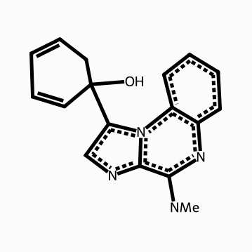 CNc1nc2ccccc2n2c(C3(O)C=CC=CC3)cnc12